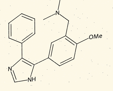 COc1ccc(-c2[nH]cnc2-c2ccccc2)cc1CN(C)C